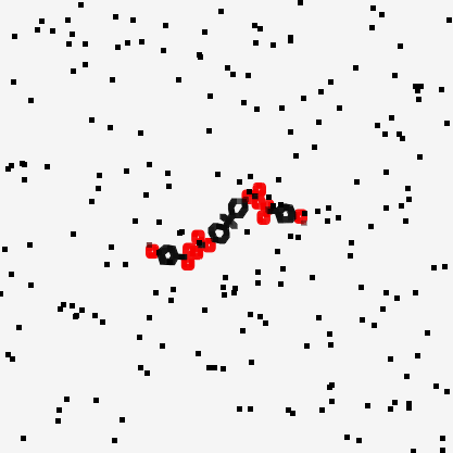 COc1ccc(C(=O)OOC(=O)OC2CCC(C(C)(C)C3CCC(OC(=O)OOC(=O)c4ccc(OC)cc4)CC3)CC2)cc1